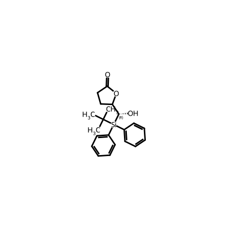 CC(C)(C)[Si](c1ccccc1)(c1ccccc1)[C@@H](O)C1CCC(=O)O1